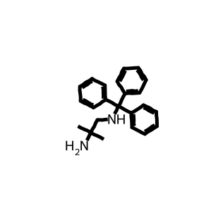 CC(C)(N)CNC(c1ccccc1)(c1ccccc1)c1ccccc1